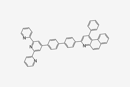 c1ccc(-c2cc(-c3ccc(-c4ccc(-c5cc(-c6ccccn6)nc(-c6ccccn6)c5)cc4)cc3)nc3ccc4ccccc4c23)cc1